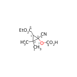 CCOC(=O)C1C(C)(C)C1(C#N)OC(=O)O